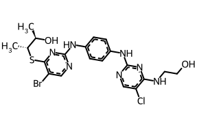 C[C@@H](O)[C@@H](C)Sc1nc(Nc2ccc(Nc3ncc(Cl)c(NCCO)n3)cc2)ncc1Br